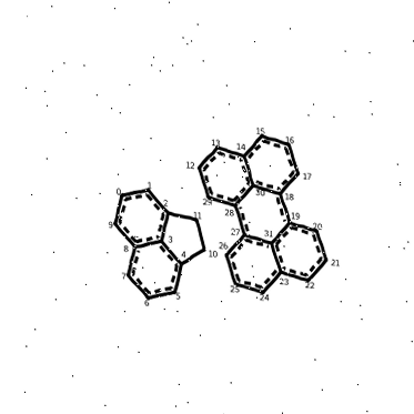 c1cc2c3c(cccc3c1)CC2.c1cc2cccc3c4cccc5cccc(c(c1)c23)c54